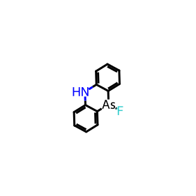 F[As]1c2ccccc2Nc2ccccc21